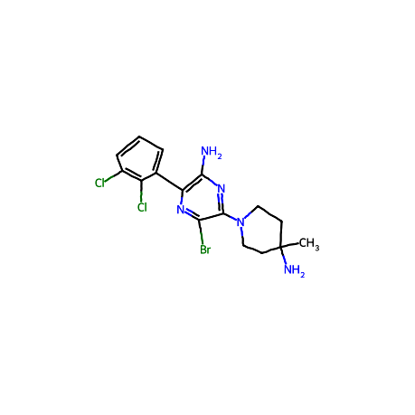 CC1(N)CCN(c2nc(N)c(-c3cccc(Cl)c3Cl)nc2Br)CC1